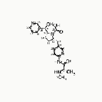 CN[C@@H](C)C(=O)Nc1ccc(C[C@@H]2CC[C@H]([C@H](O)c3cccnc3)N2C(=O)O)cc1